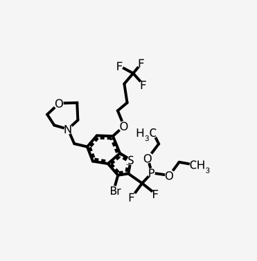 CCOP(OCC)C(F)(F)c1sc2c(OCCCC(F)(F)F)cc(CN3CCOCC3)cc2c1Br